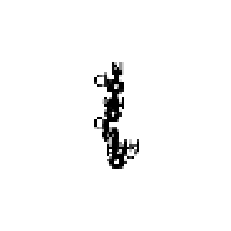 N#Cc1ccc(-c2nc3ccc(C(=O)N4CCN(c5nc6ccccc6c(=O)[nH]5)CC4)cc3o2)cc1Cl